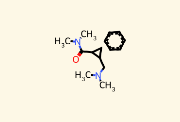 CN(C)CC1CC1C(=O)N(C)C.c1ccccc1